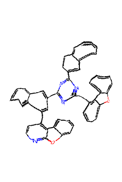 c1ccc2cc(-c3nc(-c4cc(-c5ccnc6oc7ccccc7c56)c5ccccc5c4)nc(-c4cccc5oc6ccccc6c45)n3)ccc2c1